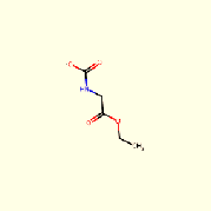 CCOC(=O)CNC([O])=O